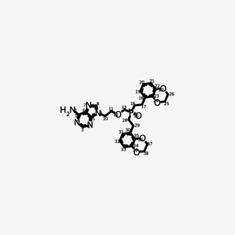 Nc1ncnc2c1ncn2CCOCP(=O)(CCc1cccc2c1OCCO2)CCc1cccc2c1OCCO2